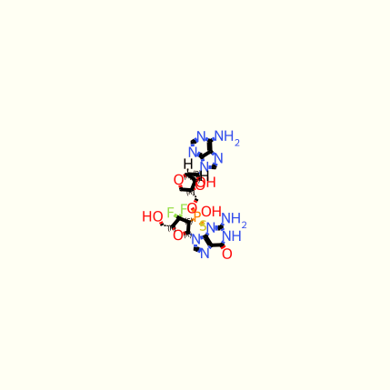 Nc1nc2c(ncn2[C@@H]2O[C@H](CO)C(F)(F)[C@H]2P(O)(=S)OC[C@@]23CO[C@@H]([C@H](n4cnc5c(N)ncnc54)O2)[C@@H]3O)c(=O)[nH]1